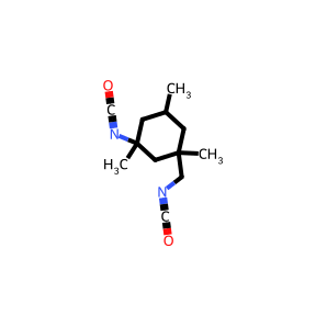 CC1CC(C)(CN=C=O)CC(C)(N=C=O)C1